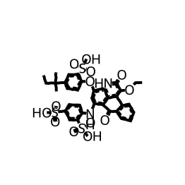 CCOc1c2c3c(c(Nc4ccc(S(=O)(=O)O)cc4S(=O)(=O)O)cc(Oc4ccc(C(C)(C)CC)cc4S(=O)(=O)O)c3[nH]c1=O)C(=O)c1ccccc1-2